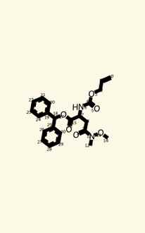 C=CCOC(=O)NC(CC(=O)N(C)OC)C(=O)OC(c1ccccc1)c1ccccc1